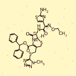 CCO/N=C(\C(=O)N[C@@H]1C(=O)N2C(C(=O)OC(c3ccccc3)c3ccccc3)=C(CSc3nnnn3C)CS[C@H]12)c1csc(N)n1